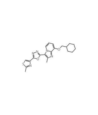 Cc1nc(-c2nnc(-c3c(C)nc4c(OCC5CCCCC5)cccn34)o2)cs1